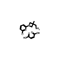 CC1(CN)CN(c2cccc(Cl)n2)C1.O=C(O)/C=C\C(=O)O